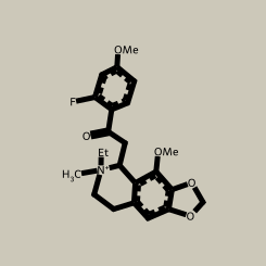 CC[N+]1(C)CCc2cc3c(c(OC)c2C1CC(=O)c1ccc(OC)cc1F)OCO3